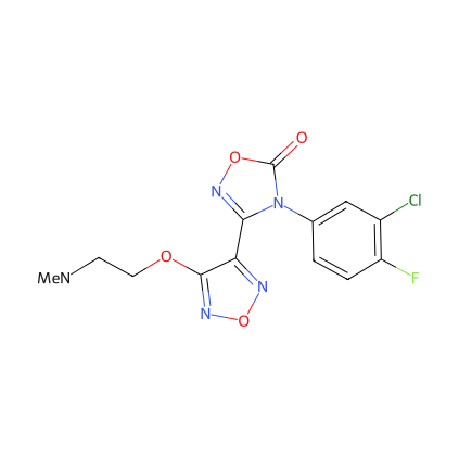 CNCCOc1nonc1-c1noc(=O)n1-c1ccc(F)c(Cl)c1